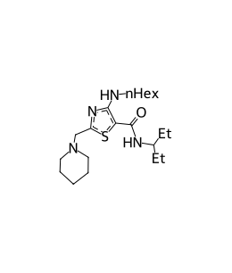 CCCCCCNc1nc(CN2CCCCC2)sc1C(=O)NC(CC)CC